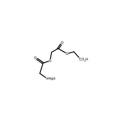 CCCCCCCCC(=O)OCC(=O)OCC(=O)O